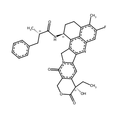 CC[C@@]1(O)C(=O)OCc2c1cc1n(c2=O)Cc2c-1nc1cc(F)c(C)c3c1c2[C@@H](NC(=O)[C@@H](C)Cc1ccccc1)CC3